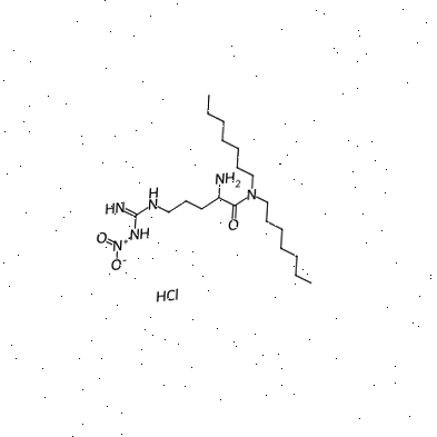 CCCCCCCN(CCCCCCC)C(=O)C(N)CCCNC(=N)N[N+](=O)[O-].Cl